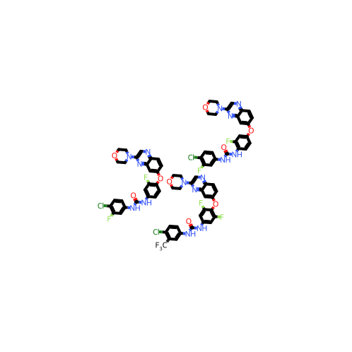 O=C(Nc1cc(F)c(Oc2ccc3ncc(N4CCOCC4)nc3c2)c(F)c1)Nc1ccc(Cl)c(C(F)(F)F)c1.O=C(Nc1ccc(Cl)c(F)c1)Nc1ccc(Oc2ccc3ncc(N4CCOCC4)nc3c2)c(F)c1.O=C(Nc1ccc(Cl)c(F)c1)Nc1ccc(Oc2ccc3ncc(N4CCOCC4)nc3c2)cc1F